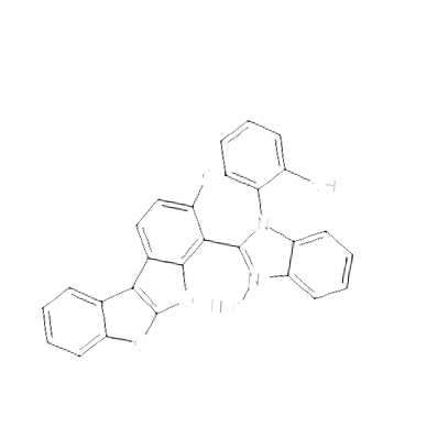 Cc1ccccc1-n1c(-c2c(C)ccc3c2oc2oc4ccccc4c23)[n+](C)c2ccccc21